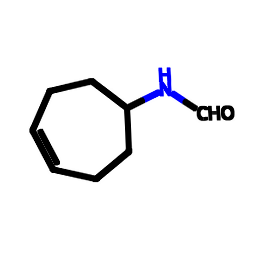 O=CNC1CCC=CCC1